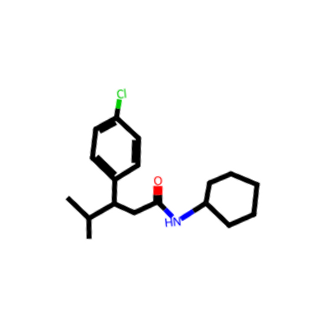 CC(C)C(CC(=O)NC1CCCCC1)c1ccc(Cl)cc1